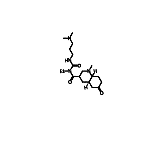 CCN(C(=O)NCCCN(C)C)C(=O)[C@@H]1C[C@@H]2CC(=O)CC[C@H]2N(C)C1